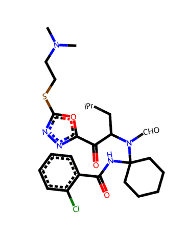 CC(C)CC(C(=O)c1nnc(SCCN(C)C)o1)N(C=O)C1(NC(=O)c2ccccc2Cl)CCCCC1